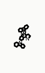 c1cnc2c(c1)B1N(c3ccc(-n4c5ccccc5c5ccccc54)cc3-2)c2cccc3c4ccccc4n1c23